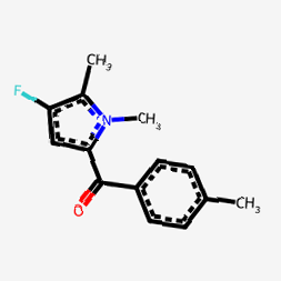 Cc1ccc(C(=O)c2cc(F)c(C)n2C)cc1